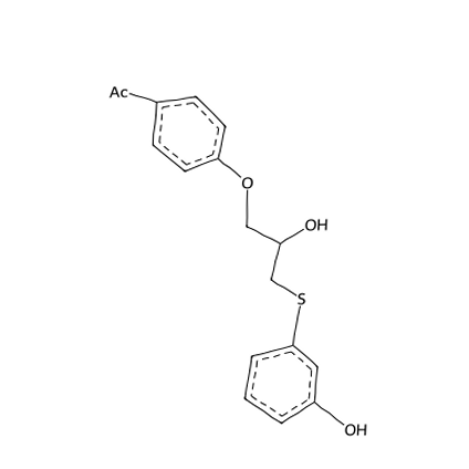 CC(=O)c1ccc(OCC(O)CSc2cccc(O)c2)cc1